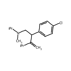 C=C(C(C)C)C(CN(C)C(C)C)c1ccc(Cl)cc1